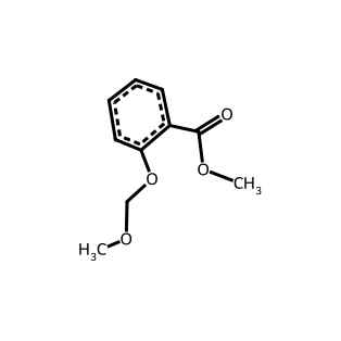 COCOc1ccccc1C(=O)OC